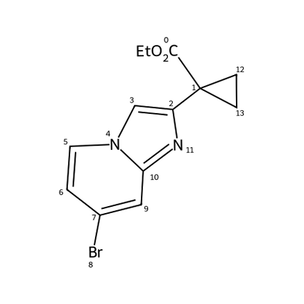 CCOC(=O)C1(c2cn3ccc(Br)cc3n2)CC1